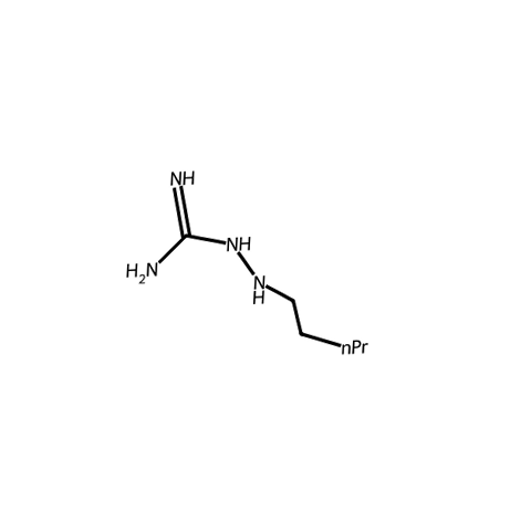 CCCCCNNC(=N)N